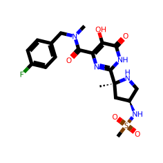 CN(Cc1ccc(F)cc1)C(=O)c1nc([C@]2(C)C[C@H](NS(C)(=O)=O)CN2)[nH]c(=O)c1O